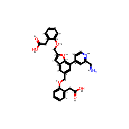 NCc1cc(-c2cc(COc3ccccc3CC(=O)O)cc3cc(COc4ccccc4CC(=O)O)oc23)ccn1